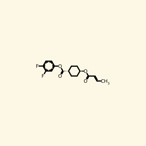 C/C=C/C(=O)O[C@H]1CC[C@H](C(=O)Oc2ccc(F)c(F)c2)CC1